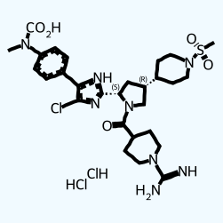 CN(C(=O)O)c1ccc(-c2[nH]c([C@@H]3C[C@H](C4CCN(S(C)(=O)=O)CC4)CN3C(=O)C3CCN(C(=N)N)CC3)nc2Cl)cc1.Cl.Cl